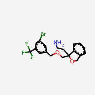 NCCC1(COCc2cc(Br)cc(C(F)(F)F)c2)OCc2ccccc21